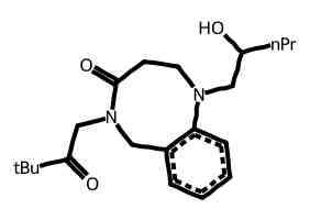 CCCC(O)CN1CCC(=O)N(CC(=O)C(C)(C)C)Cc2ccccc21